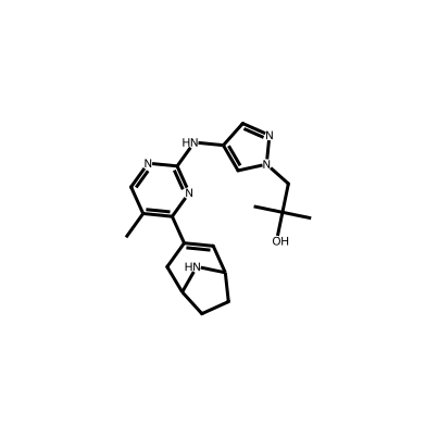 Cc1cnc(Nc2cnn(CC(C)(C)O)c2)nc1C1=CC2CCC(C1)N2